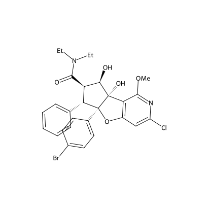 CCN(CC)C(=O)[C@H]1[C@@H](O)[C@@]2(O)c3c(cc(Cl)nc3OC)O[C@@]2(c2ccc(Br)cc2)[C@@H]1c1ccccc1